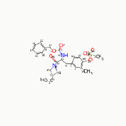 Cc1cc(CC(NC(=O)OCc2ccccc2)C(=O)N2CC(C(=O)O)C2)ccc1OS(=O)(=O)C(F)(F)F